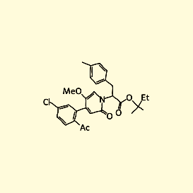 CCC(C)(C)OC(=O)C(Cc1ccc(C)cc1)n1cc(OC)c(-c2cc(Cl)ccc2C(C)=O)cc1=O